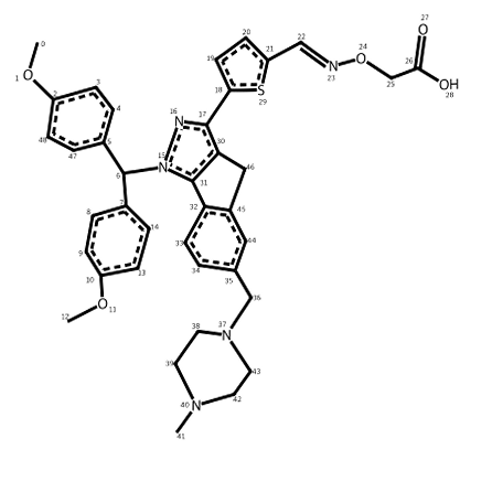 COc1ccc(C(c2ccc(OC)cc2)n2nc(-c3ccc(C=NOCC(=O)O)s3)c3c2-c2ccc(CN4CCN(C)CC4)cc2C3)cc1